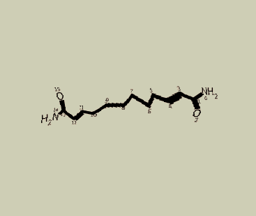 NC(=O)C=CCCCCCCC=CC(N)=O